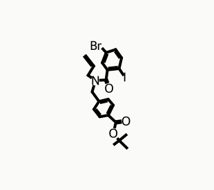 C=CCN(Cc1ccc(C(=O)OC(C)(C)C)cc1)C(=O)c1cc(Br)ccc1I